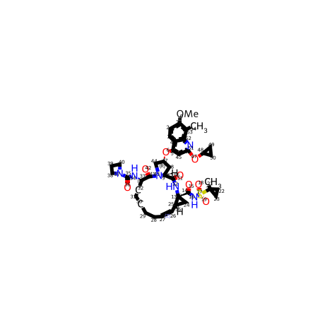 COc1ccc2c(O[C@@H]3C[C@H]4C(=O)N[C@]5(C(=O)NS(=O)(=O)C6(C)CC6)C[C@H]5/C=C\CCCCC[C@H](NC(=O)N5CCC5)C(=O)N4C3)cc(OC3CC3)nc2c1C